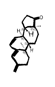 C=C1C=C2C=C[C@@H]3[C@H](CC[C@]4(C)C(=O)CC[C@@H]34)[C@@]2(C)CC1